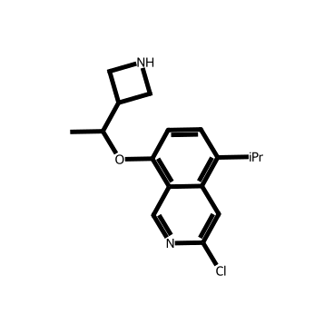 CC(C)c1ccc(OC(C)C2CNC2)c2cnc(Cl)cc12